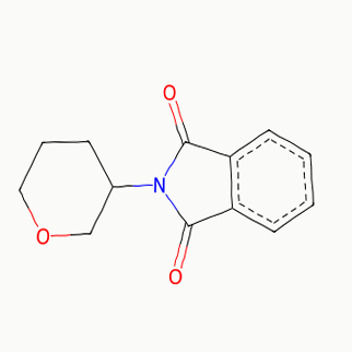 O=C1c2ccccc2C(=O)N1C1CCCOC1